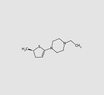 CCN1CCN(C2=CC[C@@H](C)S2)CC1